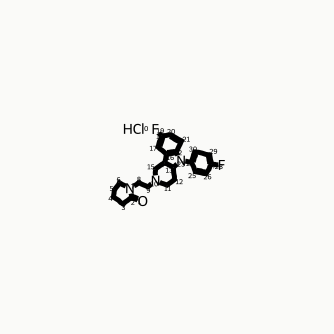 Cl.O=C1CCCCN1CCN1CCC2C(C1)c1cc(F)ccc1N2c1ccc(F)cc1